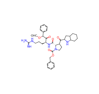 N=C(N)NCCC[C@H](NC(=O)[C@@H]1C(C(=O)C2CC3CCCCC3N2)CCN1C(=O)OCc1ccccc1)C(=O)C(O[C]=O)c1ccccc1